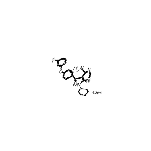 Nc1ncnc2c1c(-c1ccc(Oc3cccc(F)c3)cc1)nn2[C@@H]1CCC[C@@H](O)C1